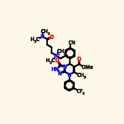 COC(=O)C1=C(C)N(c2cccc(C(F)(F)F)c2)c2n[nH]c(=O)n2C1c1ccc(C#N)cc1C[N+](C)(C)CCCC(=O)N(C)C